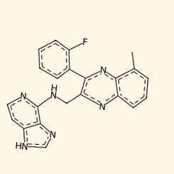 Cc1cccc2nc(CNc3nccc4[nH]cnc34)c(-c3ccccc3F)nc12